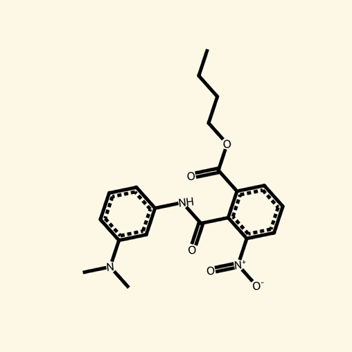 CCCCOC(=O)c1cccc([N+](=O)[O-])c1C(=O)Nc1cccc(N(C)C)c1